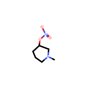 CN1CCCC(O[N+](=O)[O-])C1